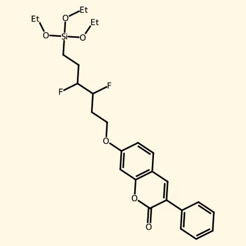 CCO[Si](CCC(F)C(F)CCOc1ccc2cc(-c3ccccc3)c(=O)oc2c1)(OCC)OCC